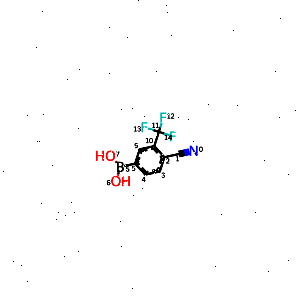 N#Cc1ccc(B(O)O)cc1C(F)(F)F